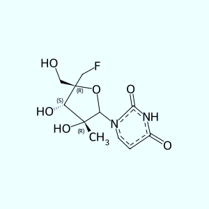 C[C@]1(O)C(n2ccc(=O)[nH]c2=O)O[C@@](CO)(CF)[C@H]1O